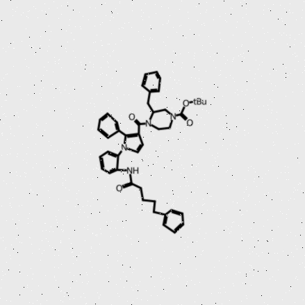 CC(C)(C)OC(=O)N1CCN(C(=O)c2ccn(-c3ccccc3NC(=O)CCCCc3ccccc3)c2-c2ccccc2)C(Cc2ccccc2)C1